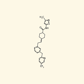 Cc1cc(NC(=O)C2CCC(=CCc3cccc(Cc4ccc(C(F)(F)F)cn4)c3)CC2)sn1